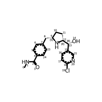 CNC(=O)c1ccc(C[C@@H]2CC[C@H]([C@H](O)c3ccc(Cl)nc3)N2)cc1